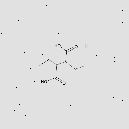 CCC(C(=O)O)C(CC)C(=O)O.[LiH]